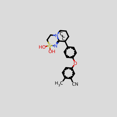 Cc1ccc(Oc2ccc(C34CCC(CC3)N3CCS(O)(O)N=C34)cc2)cc1C#N